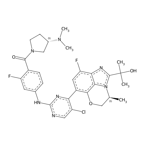 C[C@H]1COc2c(-c3nc(Nc4ccc(C(=O)N5CC[C@H](N(C)C)C5)c(F)c4)ncc3Cl)cc(F)c3nc(C(C)(C)O)n1c23